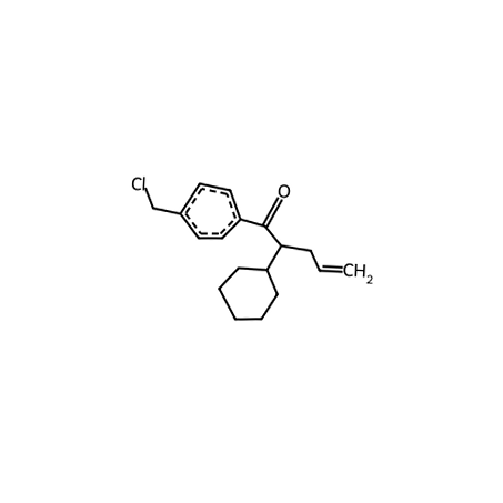 C=CCC(C(=O)c1ccc(CCl)cc1)C1CCCCC1